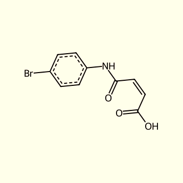 O=C(O)/C=C\C(=O)Nc1ccc(Br)cc1